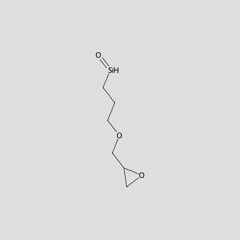 O=[SiH]CCCOCC1CO1